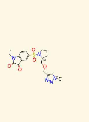 CCN1C(=O)C(=O)c2cc(S(=O)(=O)N3CCC[C@H]3COCc3cn([11CH3])nn3)ccc21